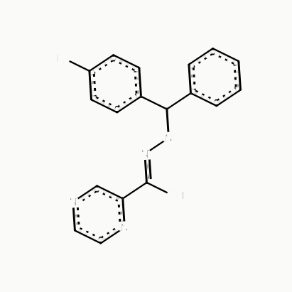 C/C(=N\NC(c1ccccc1)c1ccc(O)cc1)c1cnccn1